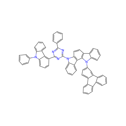 c1ccc(-c2nc(-c3cccc4c3c3ccccc3n4-c3ccccc3)nc(-n3c4ccccc4c4c3ccc3c5ccccc5n(-c5ccc6c7ccccc7c7ccccc7c6c5)c34)n2)cc1